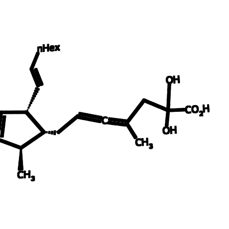 CCCCCCC=C[C@H]1C=C[C@H](C)[C@H]1CC=C=C(C)CC(O)(O)C(=O)O